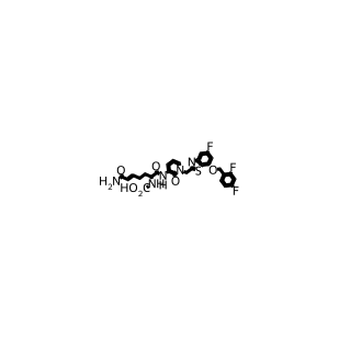 NC(=O)C=CCCC(NC(=O)O)C(=O)Nc1cccn(Cc2nc3cc(F)cc(OCc4ccc(F)cc4F)c3s2)c1=O